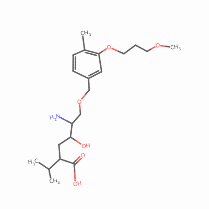 COCCCOc1cc(COCC(N)C(O)CC(C(=O)O)C(C)C)ccc1C